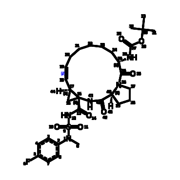 CN(c1ccc(F)cc1)S(=O)(=O)NC(=O)[C@@]12C[C@H]1/C=C\CCCCC[C@H](NC(=O)OC(C)(C)C)C(=O)N1CCC[C@H]1C(=O)N2